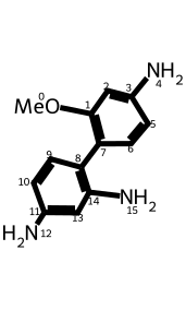 COc1cc(N)ccc1-c1ccc(N)cc1N